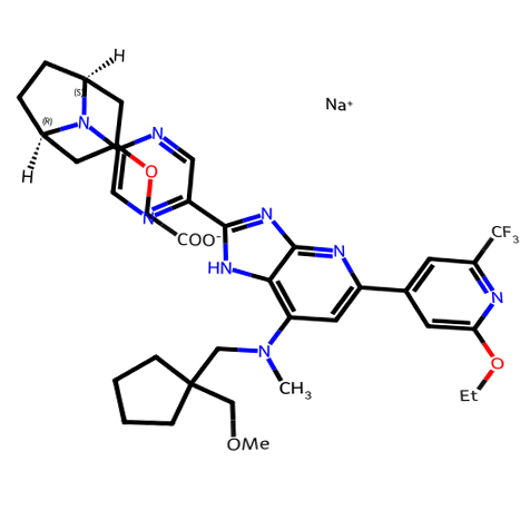 CCOc1cc(-c2cc(N(C)CC3(COC)CCCC3)c3[nH]c(-c4cnc(N5[C@@H]6CC[C@H]5CC(OCC(=O)[O-])C6)cn4)nc3n2)cc(C(F)(F)F)n1.[Na+]